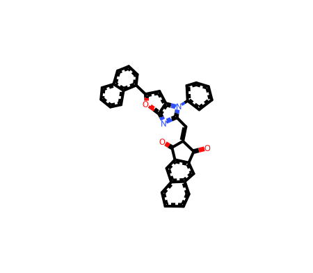 O=C1C(=Cc2nc3oc(-c4cccc5ccccc45)cc3n2-c2ccccc2)C(=O)c2cc3ccccc3cc21